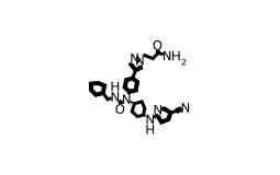 N#Cc1ccc(N[C@H]2CC[C@H](N(C(=O)NCc3ccccc3)c3ccc(-c4cnn(CCC(N)=O)c4)cc3)CC2)nc1